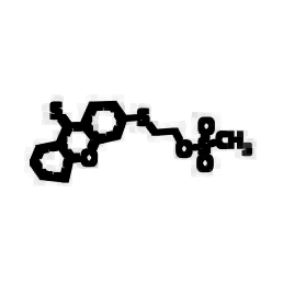 CS(=O)(=O)OCCSc1ccc2c(=S)c3ccccc3oc2c1